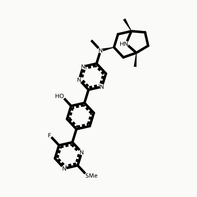 CSc1ncc(F)c(-c2ccc(-c3ncc(N(C)[C@H]4C[C@]5(C)CC[C@](C)(C4)N5)nn3)c(O)c2)n1